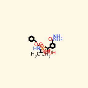 CC(C)C(NC(=O)OCc1ccccc1)P(=O)(O)CC(C(=O)O)c1cccc(C(=O)NN)c1